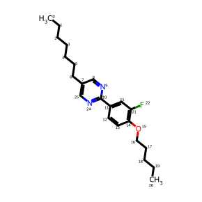 CCCCCCCc1cnc(-c2ccc(OCCCCC)c(F)c2)nc1